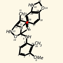 COc1cccc(NC23N=CC(C)=C(NO2)N3c2ccc3c(c2)NCO3)c1C